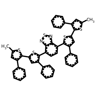 Cc1cc(-c2ccccc2)c(-c2cc(-c3ccccc3)c(-c3ccc(-c4sc(-c5sc(C)cc5-c5ccccc5)cc4-c4ccccc4)c4nsnc34)s2)s1